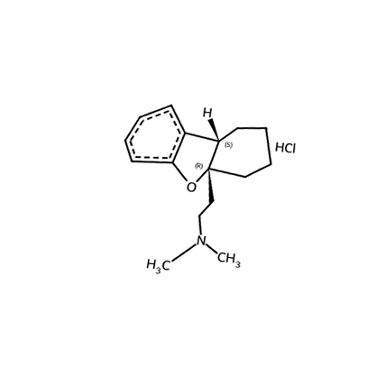 CN(C)CC[C@]12CCCC[C@H]1c1ccccc1O2.Cl